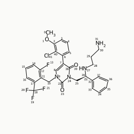 COc1cccc(-c2cn(Cc3c(F)cccc3C(F)(F)F)c(=O)n(C[C@@H](NCCCN)c3ccccc3)c2=O)c1Cl